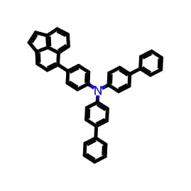 C1=Cc2ccc(-c3ccc(N(c4ccc(-c5ccccc5)cc4)c4ccc(-c5ccccc5)cc4)cc3)c3cccc1c23